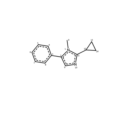 Cn1c(-c2ccccc2)cnc1C1CC1